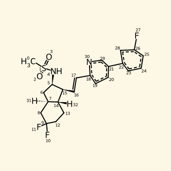 CS(=O)(=O)N[C@@H]1C[C@@H]2CC(F)(F)CC[C@H]2[C@@H]1C=Cc1ccc(-c2cccc(F)c2)cn1